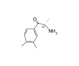 Cc1ccc(C(=O)[C@H](C)N)cc1C